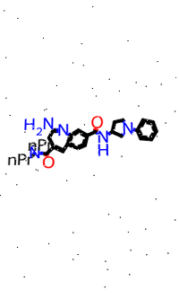 CCCN(CCC)C(=O)C1=Cc2ccc(C(=O)NC3CCN(c4ccccc4)C3)cc2N=C(N)C1